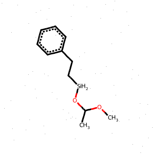 COC(C)O[SiH2]CCc1ccccc1